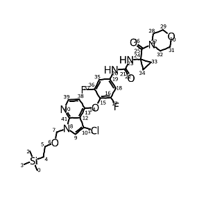 C[Si](C)(C)CCOCn1cc(Cl)c2c(Oc3c(F)cc(NC(=O)NC4(C(=O)N5CCOCC5)CC4)cc3F)ccnc21